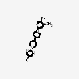 Cc1cc(N2CCC(C3CCN(c4ncc(Cl)cn4)CC3)CC2)ncc1Br